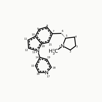 CN1CCC[C@H]1Cc1ccc2ccn(-c3ccncc3)c2c1